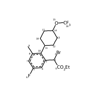 CCOC(=O)C(Br)c1cc(F)cc(C)c1C1CCC(OC(F)(F)F)CC1